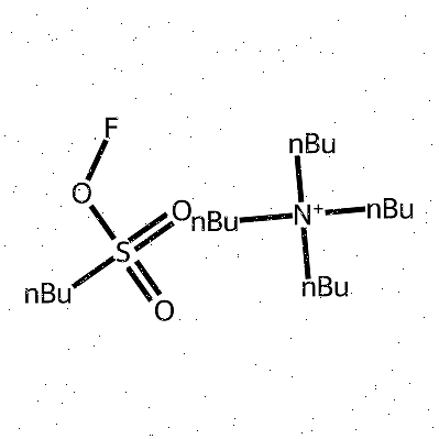 CCCCS(=O)(=O)OF.CCCC[N+](CCCC)(CCCC)CCCC